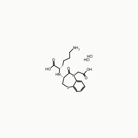 Cl.Cl.NCCCC[C@H](N[C@H]1CSc2ccccc2N(CC(=O)O)C1=O)C(=O)O